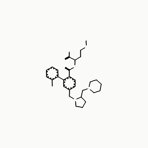 CSCCC(NC(=O)c1ccc(CN2CCCC2CN2CCCCC2)cc1-c1ccccc1C)C(=O)O